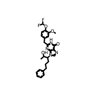 COc1cc(Cc2nc3c(ncn3C(CCCc3ccccc3)C(C)O)c(=O)[nH]2)ccc1OC(F)F